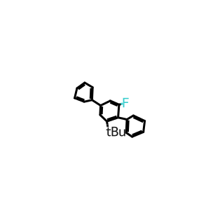 CC(C)(C)c1cc(-c2ccccc2)cc(F)c1-c1ccccc1